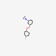 Ic1ccc(OCc2cccc(N3CC3)c2)cc1